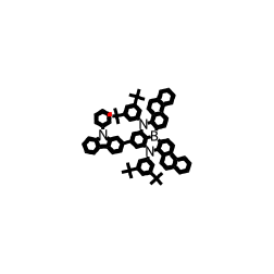 CC(C)(C)c1cc(N2c3cc(-c4ccc5c6ccccc6n(-c6ccccc6)c5c4)cc4c3B(c3ccc5c(ccc6ccccc65)c32)c2ccc3c(ccc5ccccc53)c2N4c2cc(C(C)(C)C)cc(C(C)(C)C)c2)cc(C(C)(C)C)c1